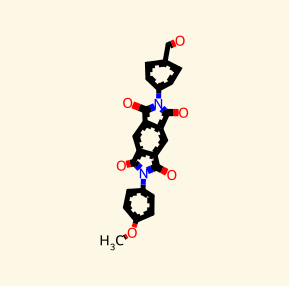 COc1ccc(-n2c(=O)c3cc4c(=O)n(-c5ccc(C=O)cc5)c(=O)c4cc3c2=O)cc1